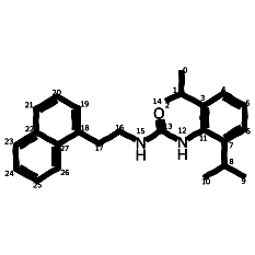 CC(C)c1cccc(C(C)C)c1NC(=O)NCCc1cccc2ccccc12